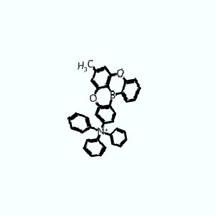 Cc1cc2c3c(c1)Oc1cc([N+](c4ccccc4)(c4ccccc4)c4ccccc4)ccc1B3c1ccccc1O2